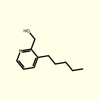 CCCCCc1cccnc1CO